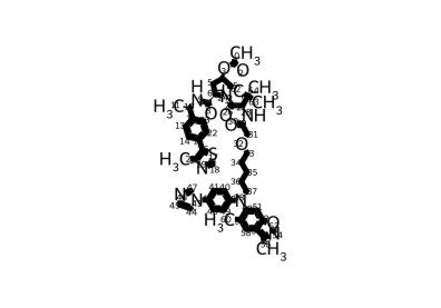 CC(=O)O[C@@H]1C[C@@H](C(=O)N[C@@H](C)c2ccc(-c3scnc3C)cc2)N(C(=O)[C@@H](NC(=O)COCCCCCN(c2ccc(-n3ccnc3)cc2)c2cc3onc(C)c3cc2C)C(C)(C)C)C1